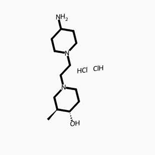 C[C@H]1CN(CCN2CCC(N)CC2)CC[C@@H]1O.Cl.Cl